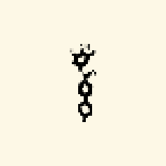 CC1CCC(c2ccc(C(=O)Oc3cc(F)c(C#N)c(F)c3)cc2)CC1